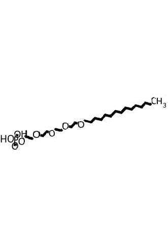 CCCCCCCCCCCCCCCOCCOCCOCCOCCOP(=O)(O)O